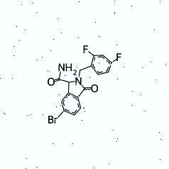 NC(=O)C1c2cc(Br)c[c]c2C(=O)N1Cc1ccc(F)cc1F